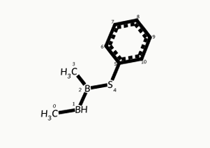 CBB(C)Sc1ccccc1